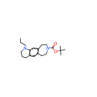 CCCN1CCCc2cc3c(cc21)CCN(C(=O)OC(C)(C)C)CC3